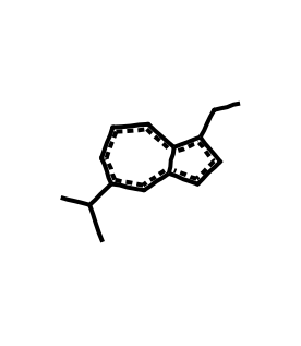 CCc1ccc2cc(C(C)C)cccc1-2